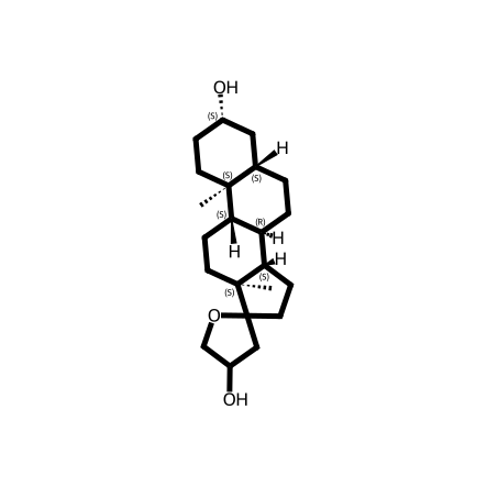 C[C@]12CC[C@H](O)C[C@@H]1CC[C@@H]1[C@@H]2CC[C@@]2(C)[C@H]1CCC21CC(O)CO1